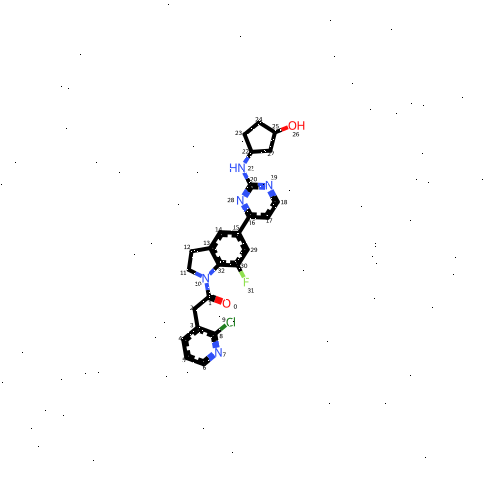 O=C(Cc1cccnc1Cl)N1CCc2cc(-c3ccnc(NC4CCC(O)C4)n3)cc(F)c21